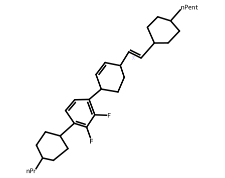 CCCCCC1CCC(/C=C/C2C=CC(c3ccc(C4CCC(CCC)CC4)c(F)c3F)CC2)CC1